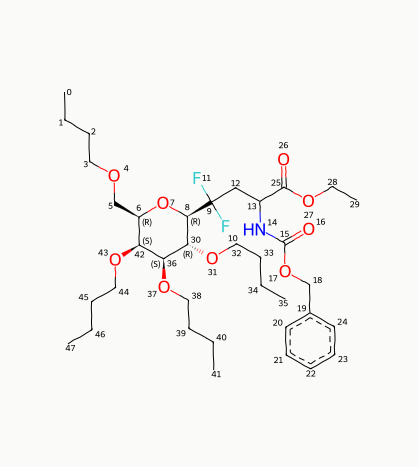 CCCCOC[C@H]1O[C@@H](C(F)(F)CC(NC(=O)OCc2ccccc2)C(=O)OCC)[C@H](OCCCC)[C@@H](OCCCC)[C@H]1OCCCC